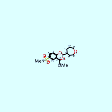 CNS(=O)(=O)c1ccc(OCC2CCCOCC2)c(C(=O)OC)c1